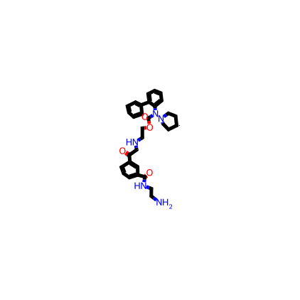 NCCNC(=O)c1cccc(C(=O)CNCCOC(=O)N(c2ccccc2-c2ccccc2)N2CC[CH]CC2)c1